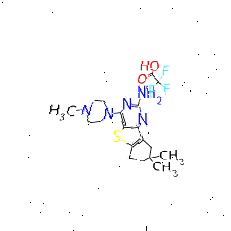 CN1CCN(c2nc(N)nc3c4c(sc23)CCC(C)(C)C4)CC1.O=C(O)C(F)(F)F